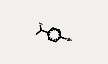 CC(=O)C(C)c1ccc(C(C)(C)C)cc1